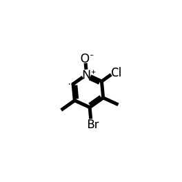 Cc1[c][n+]([O-])c(Cl)c(C)c1Br